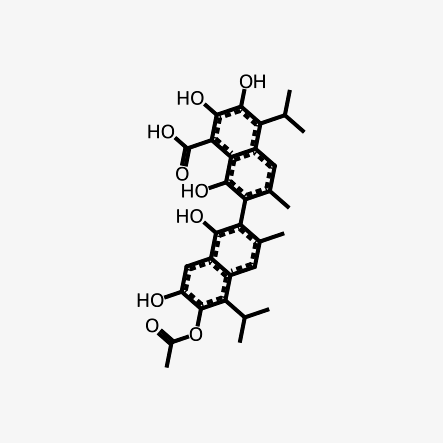 CC(=O)Oc1c(O)cc2c(O)c(-c3c(C)cc4c(C(C)C)c(O)c(O)c(C(=O)O)c4c3O)c(C)cc2c1C(C)C